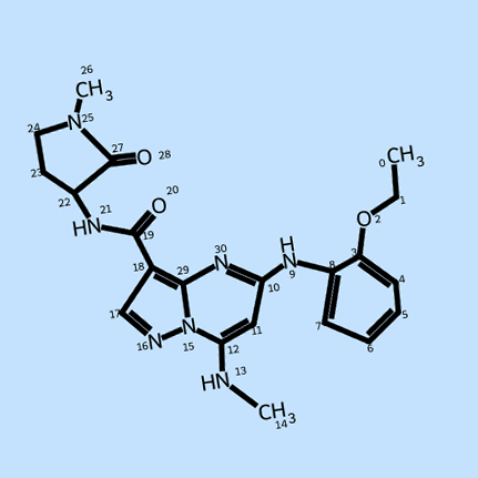 CCOc1ccccc1Nc1cc(NC)n2ncc(C(=O)NC3CCN(C)C3=O)c2n1